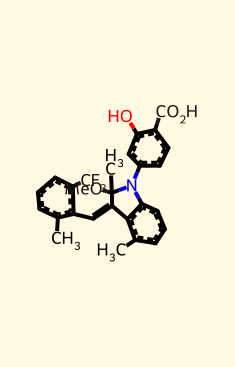 COC1(C)/C(=C\c2c(C)cccc2C(F)(F)F)c2c(C)cccc2N1c1ccc(C(=O)O)c(O)c1